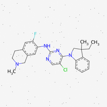 CCC1(C)CN(c2nc(Nc3cc4c(cc3F)CCN(C)C4)ncc2Cl)c2ccccc21